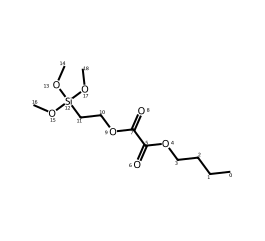 CCCCOC(=O)C(=O)OCC[Si](OC)(OC)OC